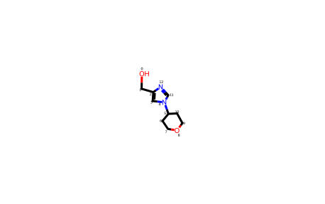 OCc1cn(C2CCOCC2)cn1